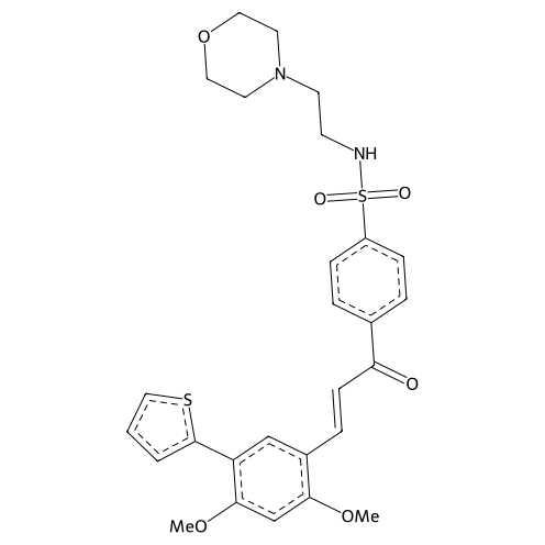 COc1cc(OC)c(-c2cccs2)cc1/C=C/C(=O)c1ccc(S(=O)(=O)NCCN2CCOCC2)cc1